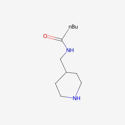 CCCCC(=O)NCC1CCNCC1